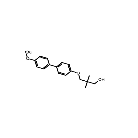 CC(C)(CO)COc1ccc(-c2ccc(OC(C)(C)C)cc2)cc1